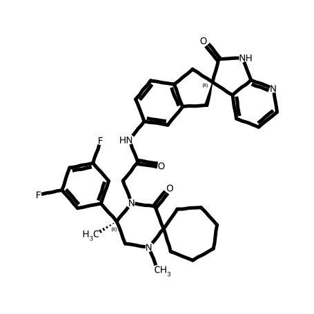 CN1C[C@@](C)(c2cc(F)cc(F)c2)N(CC(=O)Nc2ccc3c(c2)C[C@@]2(C3)C(=O)Nc3ncccc32)C(=O)C12CCCCCC2